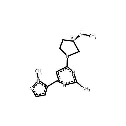 CN[C@@H]1CCN(c2cc(-c3ccnn3C)nc(N)n2)C1